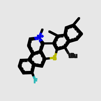 Cc1ccc2c(C(C)(C)C)c3c(c(C)c2c1)-c1c2c(cc4c(F)cccc4c2cc[n+]1C)S3